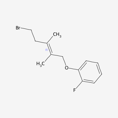 C/C(CCBr)=C(/C)COc1ccccc1F